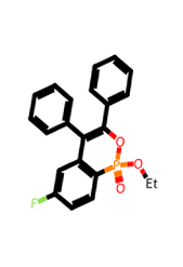 CCOP1(=O)OC(c2ccccc2)=C(c2ccccc2)c2cc(F)ccc21